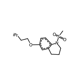 CC(C)CCOc1ccc2c(c1)CCCN2S(C)(=O)=O